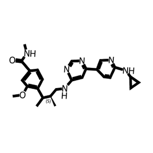 CNC(=O)c1ccc(C(C)[C@H](C)CNc2cc(-c3ccc(NC4CC4)nc3)ncn2)c(OC)c1